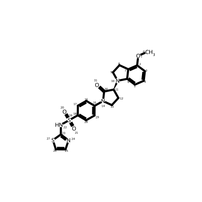 COc1cccc2c1CCN2[C@H]1CCN(c2ccc(S(=O)(=O)Nc3nccs3)cc2)C1=O